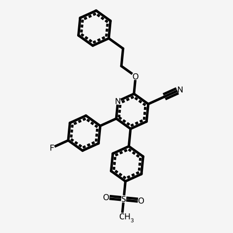 CS(=O)(=O)c1ccc(-c2cc(C#N)c(OCCc3ccccc3)nc2-c2ccc(F)cc2)cc1